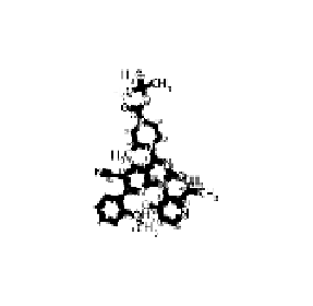 COc1ccccc1-c1nc2c(cc1C#N)c(N1CCN(C(=O)OC(C)(C)C)CC1C)nc(=O)n2-c1c(C)ccnc1C(C)C